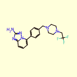 Nc1nc2cccc(-c3ccc(CN4CCN(CC(F)(F)F)CC4)cc3)n2n1